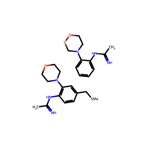 CC(=N)Nc1ccccc1N1CCOSC1.CSCc1ccc(NC(C)=N)c(N2CCOCC2)c1